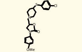 COc1ccc(N2CC(CN3CCC(Sc4ccc(Cl)cc4)CC3)OC2=O)cc1